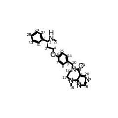 CN[C@@H](CCOc1ccc(CN2CCN(C)c3ncncc3C2=O)cc1)c1ccccc1